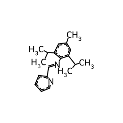 Cc1cc(C(C)C)c(N=Cc2ccccn2)c(C(C)C)c1